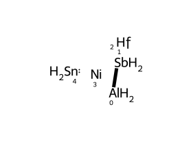 [AlH2][SbH2].[Hf].[Ni].[SnH2]